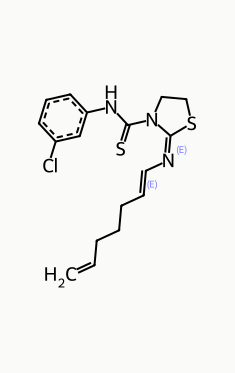 C=CCCC/C=C/N=C1/SCCN1C(=S)Nc1cccc(Cl)c1